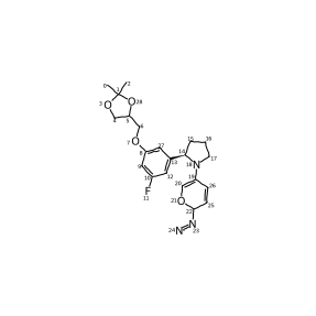 CC1(C)OCC(COc2cc(F)cc([C@H]3CCCN3C3=COC(N=[N])C=C3)c2)O1